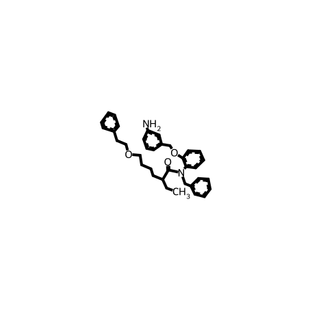 CCC(CCCCOCCc1ccccc1)C(=O)N(Cc1ccccc1)c1ccccc1OCc1cccc(N)c1